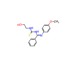 COc1ccc(N=C(NC(=S)NCCO)c2ccccc2)cc1